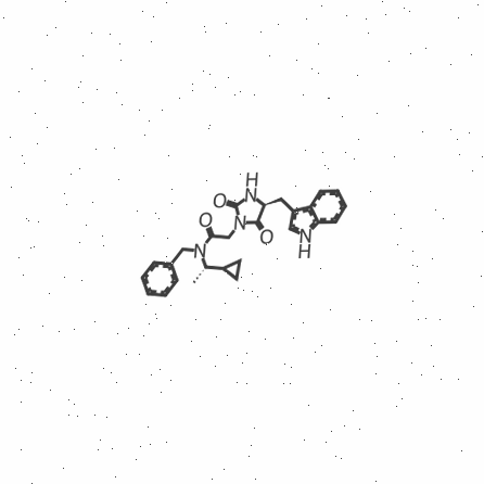 C[C@@H](C1CC1)N(Cc1ccccc1)C(=O)CN1C(=O)N[C@@H](Cc2c[nH]c3ccccc23)C1=O